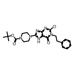 CC(C)(C)OC(=O)N1CCN(c2nc3nc(Cl)n(CCc4ccccc4)c(=O)c3[nH]2)CC1